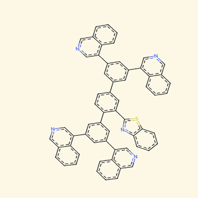 c1ccc2c(-c3cc(-c4ccc(-c5cc(-c6cncc7ccccc67)cc(-c6cncc7ccccc67)c5)c(-c5nc6ccccc6s5)c4)cc(-c4cncc5ccccc45)c3)cncc2c1